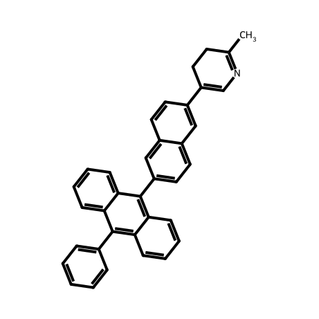 CC1=NC=C(c2ccc3cc(-c4c5ccccc5c(-c5ccccc5)c5ccccc45)ccc3c2)CC1